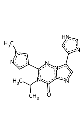 CC(C)n1c(-c2cnn(C)c2)nn2c(-c3c[nH]cn3)cnc2c1=O